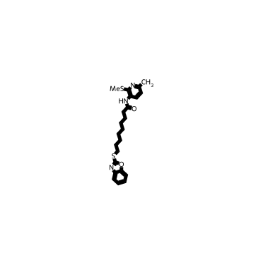 CSc1nc(C)ccc1NC(=O)CCCCCCCCSc1nc2ccccc2o1